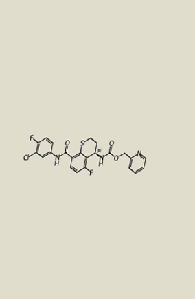 O=C(N[C@@H]1CCSc2c(C(=O)Nc3ccc(F)c(Cl)c3)ccc(F)c21)OCc1ccccn1